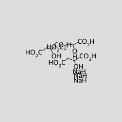 O=C(O)CC(O)C(=O)O.O=C(O)CC(O)C(=O)O.O=C(O)CC(O)C(=O)O.[NaH].[NaH].[NaH]